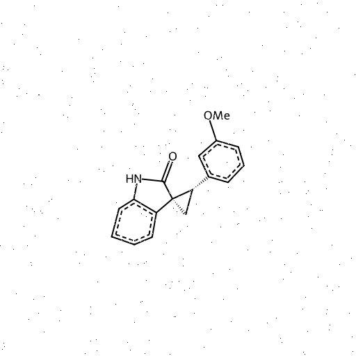 COc1cccc([C@@H]2C[C@]23C(=O)Nc2ccccc23)c1